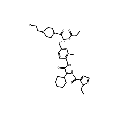 CCC(=O)N[C@H](Cc1ccc(NC(=O)[C@@H](NC(=O)c2ccnn2CC)C2CCCCC2)c(F)c1)C(=O)N1CCN(CCF)CC1